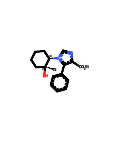 CCOC(=O)c1ncn([C@@H]2CCCC[C@@]2(O)CC)c1-c1ccccc1